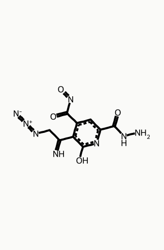 [N-]=[N+]=NCC(=N)c1c(C(=O)N=O)cc(C(=O)NN)nc1O